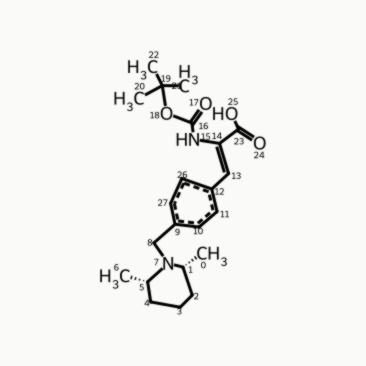 C[C@@H]1CCC[C@H](C)N1Cc1ccc(/C=C(\NC(=O)OC(C)(C)C)C(=O)O)cc1